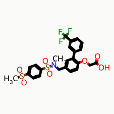 CN(Cc1ccc(OCC(=O)O)c(-c2cccc(C(F)(F)F)c2)c1)S(=O)(=O)c1ccc(S(C)(=O)=O)cc1